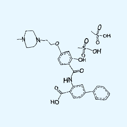 CN1CCN(CCOc2ccc(C(=O)Nc3cc(-c4ccccc4)ccc3C(=O)O)c(O)c2)CC1.CS(=O)(=O)O.CS(=O)(=O)O